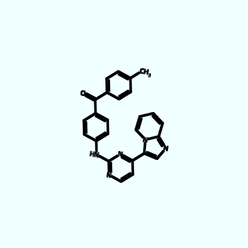 Cc1ccc(C(=O)c2ccc(Nc3nccc(-c4cnc5ccccn45)n3)cc2)cc1